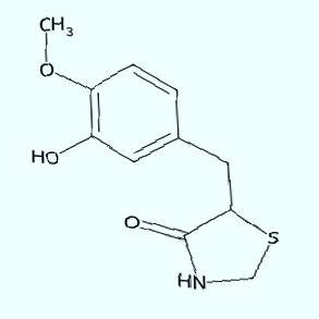 COc1ccc(CC2SCNC2=O)cc1O